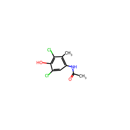 CC(=O)Nc1cc(Cl)c(O)c(Cl)c1C